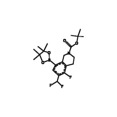 CC(C)(C)OC(=O)N1CCc2c(F)c(C(F)F)cc(B3OC(C)(C)C(C)(C)O3)c2C1